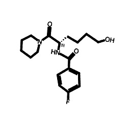 O=C(N[C@@H](CCCCO)C(=O)N1CCCCC1)c1ccc(F)cc1